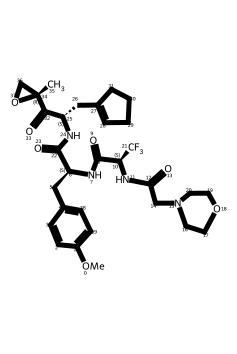 COc1ccc(C[C@H](NC(=O)[C@H](NC(=O)CN2CCOCC2)C(F)(F)F)C(=O)N[C@@H](CC2=CCCC2)C(=O)[C@@]2(C)CO2)cc1